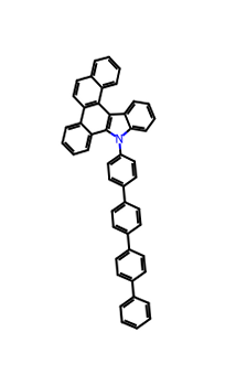 c1ccc(-c2ccc(-c3ccc(-c4ccc(-n5c6ccccc6c6c7c8ccccc8ccc7c7ccccc7c65)cc4)cc3)cc2)cc1